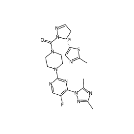 Cc1nc(C)n(-c2nc(N3CCN(C(=O)N4N=CC[C@@H]4c4cnc(C)s4)CC3)ncc2F)n1